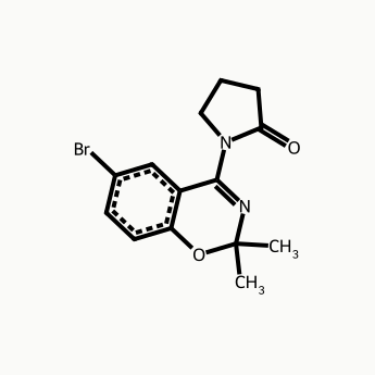 CC1(C)N=C(N2CCCC2=O)c2cc(Br)ccc2O1